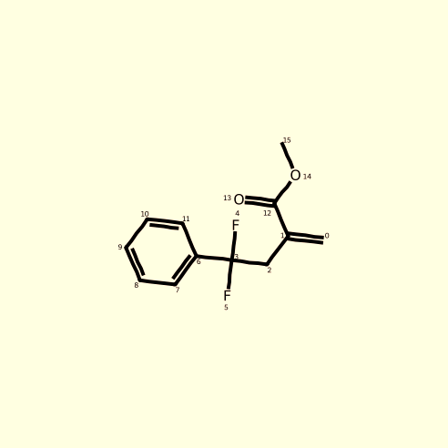 C=C(CC(F)(F)c1ccccc1)C(=O)OC